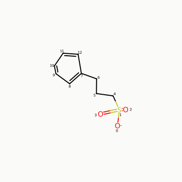 [O]S(=O)(=O)CCCc1ccccc1